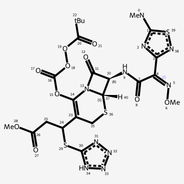 CNc1nc(/C(=N/OC)C(=O)N[C@@H]2C(=O)N3C(OC(=O)OOC(=O)C(C)(C)C)=C(C(CC(=O)OC)Sc4nnn[nH]4)CS[C@@H]23)ns1